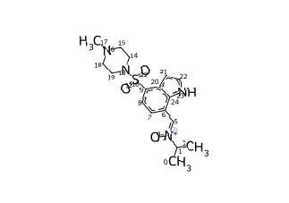 CC(C)/[N+]([O-])=C/c1ccc(S(=O)(=O)N2CCN(C)CC2)c2cc[nH]c12